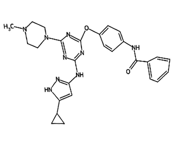 CN1CCN(c2nc(Nc3cc(C4CC4)[nH]n3)nc(Oc3ccc(NC(=O)c4ccccc4)cc3)n2)CC1